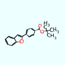 CC(C)(C)OC(=O)c1ccc(-c2cc3ccccc3o2)cc1